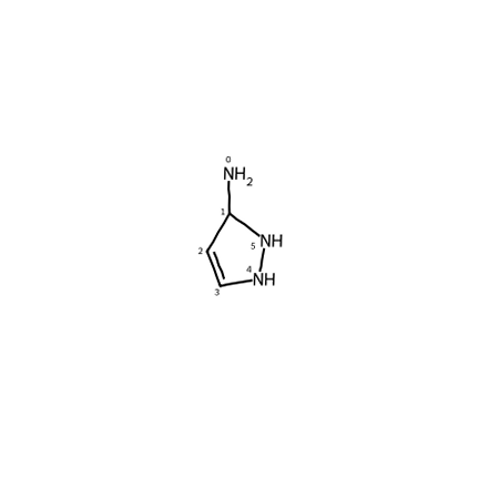 NC1C=CNN1